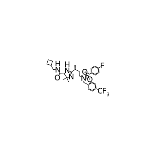 C=C(CCN(Cc1ccc(C(F)(F)F)cc1)S(=O)(=O)c1ccc(F)cc1)C1=NC(C)(C)C(C(=O)NCC2CCC2)N1